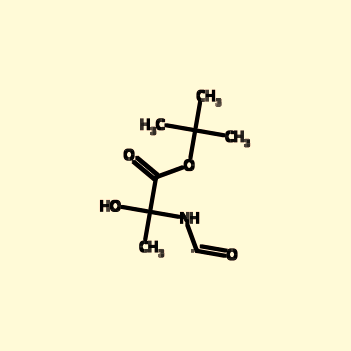 CC(C)(C)OC(=O)C(C)(O)N[C]=O